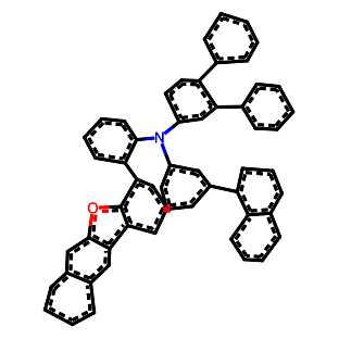 c1ccc(-c2ccc(N(c3cccc(-c4cccc5ccccc45)c3)c3ccccc3-c3cccc4c3oc3cc5ccccc5cc34)cc2-c2ccccc2)cc1